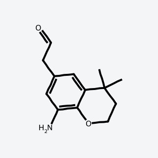 CC1(C)CCOc2c(N)cc(CC=O)cc21